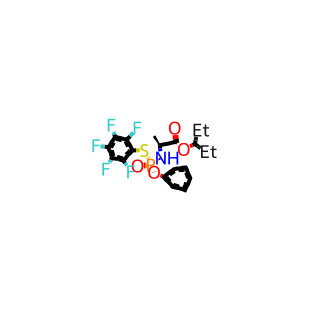 CCC(CC)OC(=O)[C@H](C)N[P@@](=O)(Oc1ccccc1)Sc1c(F)c(F)c(F)c(F)c1F